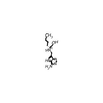 CCCC[C@H](CO)NCc1c[nH]c2c(N)ncnc12